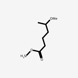 COC(C)CCCC(=O)O[SiH3]